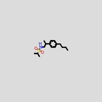 CCCCc1ccc(C(C)CNS(=O)(=O)C(C)C)cc1